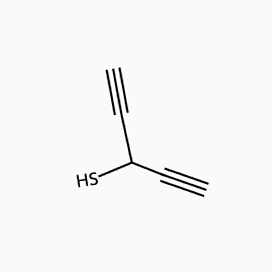 C#CC(S)C#C